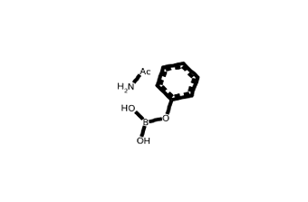 CC(N)=O.OB(O)Oc1ccccc1